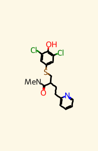 CNC(=O)C(CCc1ccccn1)CSc1cc(Cl)c(O)c(Cl)c1